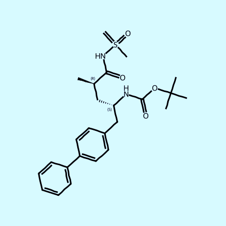 C=S(C)(=O)NC(=O)[C@H](C)C[C@@H](Cc1ccc(-c2ccccc2)cc1)NC(=O)OC(C)(C)C